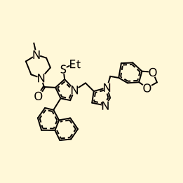 CCSc1c(C(=O)N2CCN(C)CC2)c(-c2cccc3ccccc23)cn1Cc1cncn1Cc1ccc2c(c1)OCO2